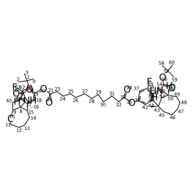 CC(C)(C)OC(=O)N[C@H]1C2CCCCC[C@]1(C)c1cc(OC(=O)CCCCCCCCCCC(=O)Oc3cc(F)c4c(c3)[C@@]3(C)CCCCC[C@@H](C4)[C@@H]3NC(=O)OC(C)(C)C)cc(F)c1C2